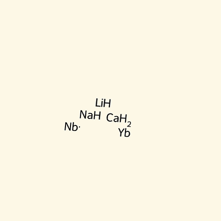 [CaH2].[LiH].[NaH].[Nb].[Yb]